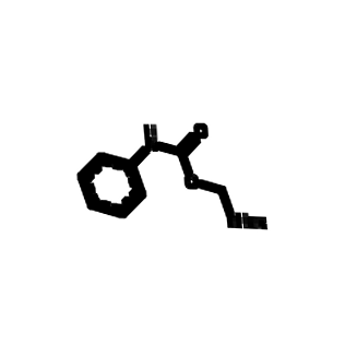 CCCCCCCOC(=O)Nc1ccccc1